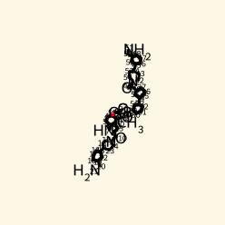 C[C@@]1(c2cccc3[nH]c(C(=O)N4CCC(c5cccc(CN)c5)CC4)cc23)OB(c2cccc(-c3cccc(C(=O)N4CCC(c5cccc(CN)c5)CC4)c3)c2)OC1=O